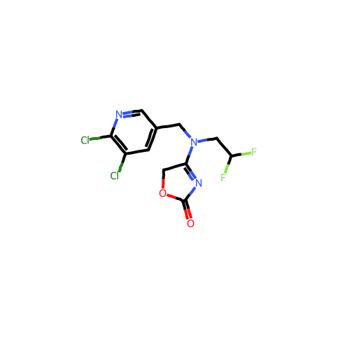 O=C1N=C(N(Cc2cnc(Cl)c(Cl)c2)CC(F)F)CO1